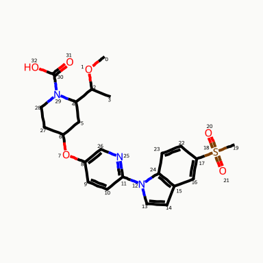 COC(C)C1CC(Oc2ccc(-n3ccc4cc(S(C)(=O)=O)ccc43)nc2)CCN1C(=O)O